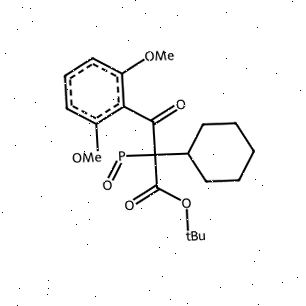 COc1cccc(OC)c1C(=O)C(P=O)(C(=O)OC(C)(C)C)C1CCCCC1